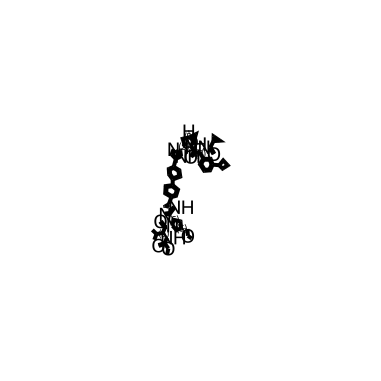 COC[C@H]1C[C@@H](c2ncc(-c3ccc(-c4ccc(-c5cnc([C@@H]6C[C@H]7C[C@H]7N6C(=O)[C@H](NC(=O)C6CC6)c6cccc(C7CCC7)c6)[nH]5)cc4)cc3)[nH]2)N(C(=O)[C@@H](NC(=O)OC)C(C)C)C1